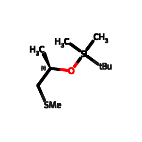 CSC[C@@H](C)O[Si](C)(C)C(C)(C)C